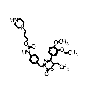 CCOc1cc(C2=NN(Cc3ccc(NC(=O)OCCCN4CCNCC4)cc3)C(=O)SC2CC)ccc1OC